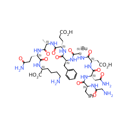 CC[C@H](C)[C@H](NC(=O)[C@H](CC(=O)O)NC(=O)[C@H](CC(N)=O)NC(=O)[C@H](CC(C)C)NC(=O)CN)C(=O)N[C@@H](Cc1ccccc1)C(=O)N[C@@H](CCC(=O)O)C(=O)N[C@@H](C)C(=O)N[C@@H](CCC(N)=O)C(=O)N[C@@H](CCCCN)C(=O)O